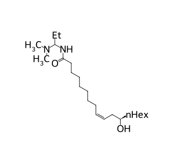 CCCCCC[C@@H](O)C/C=C\CCCCCCCC(=O)NC(CC)N(C)C